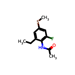 CCc1cc(SC)cc(F)c1NC(C)=O